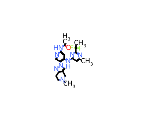 CC(=O)Nc1cc(Nc2cc(C)nc(C(C)(F)F)n2)c(-n2cc3c(n2)CCN(C)C3)cn1